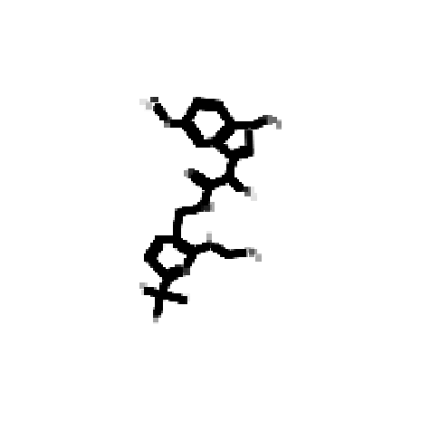 CCNc1nc(C(F)(F)F)ccc1CNC(=O)C(C)c1cn(C)c2ccc(OC)cc12